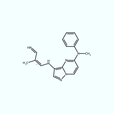 C/C(C=N)=C/Nc1cnn2ccc(N(C)c3ccccc3)nc12